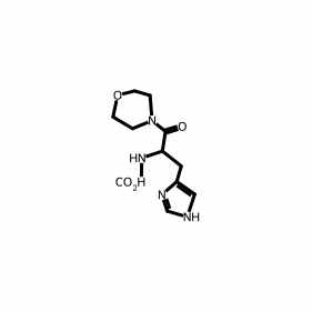 O=C(O)NC(Cc1c[nH]cn1)C(=O)N1CCOCC1